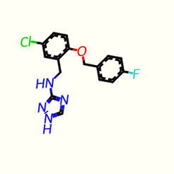 Fc1ccc(COc2ccc(Cl)cc2CNc2nc[nH]n2)cc1